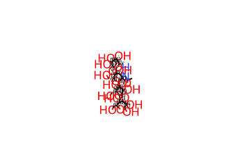 CC(=O)N[C@H]1[C@H](O[C@H]2[C@@H](O)[C@@H](CO)O[C@@H](O[C@H]3[C@@H](O)[C@@H](CO)OC(O)[C@@H]3O)[C@@H]2O)O[C@H](CO)[C@@H](O[C@@H]2O[C@@H](C)[C@@H](O)[C@@H](O)[C@@H]2O)[C@@H]1O